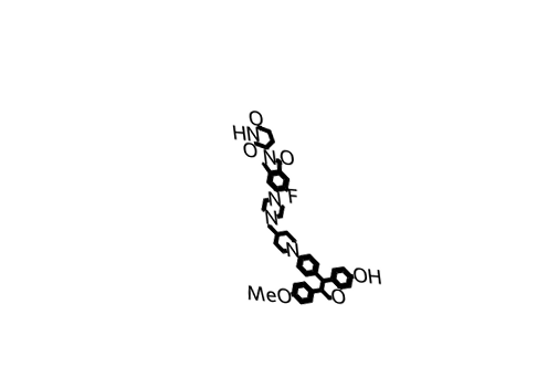 COc1ccc(C2COc3cc(O)ccc3C2c2ccc(N3CCC(CN4CCN(c5cc6c(cc5F)C(=O)N(C5CCC(=O)NC5=O)C6)CC4)CC3)cc2)cc1